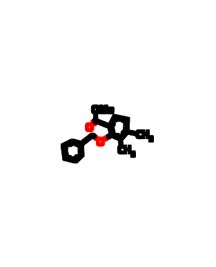 COC(=O)c1ccc(C)c(C)c1OCc1ccccc1